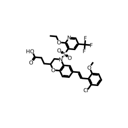 CCOc1ncc(C(F)(F)F)cc1S(=O)(=O)N1CC(CCC(=O)O)Oc2ccc(C=Cc3c(Cl)cccc3OC)cc21